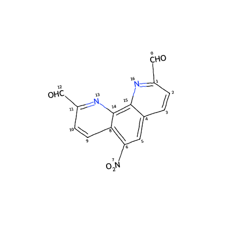 O=Cc1ccc2cc([N+](=O)[O-])c3ccc(C=O)nc3c2n1